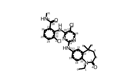 CCN1C(=O)CCC(C)(C)c2cc(Nc3ncc(Cl)c(Nc4c(Cl)cccc4C(=O)NC)n3)ccc21